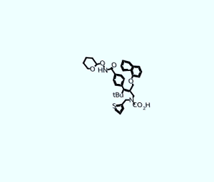 CC(C)(C)C(=C(COc1cccc2ccccc12)CN(Cc1cccs1)C(=O)O)c1ccc(C(=O)NOC2CCCCO2)cc1